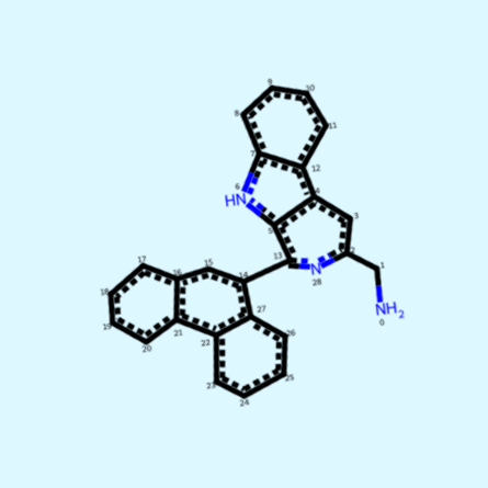 NCc1cc2c([nH]c3ccccc32)c(-c2cc3ccccc3c3ccccc23)n1